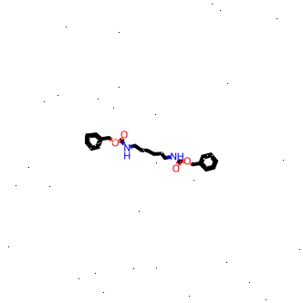 O=C(NCCCCCCNC(=O)OCc1ccccc1)OCc1ccccc1